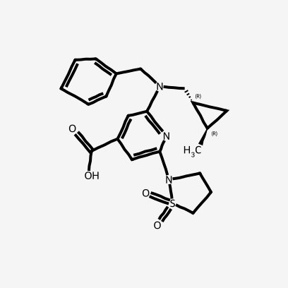 C[C@@H]1C[C@H]1CN(Cc1ccccc1)c1cc(C(=O)O)cc(N2CCCS2(=O)=O)n1